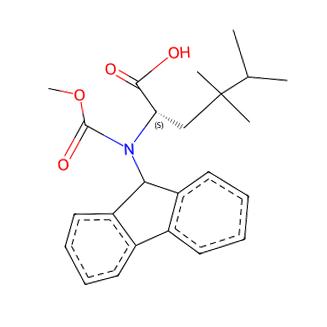 COC(=O)N(C1c2ccccc2-c2ccccc21)[C@@H](CC(C)(C)C(C)C)C(=O)O